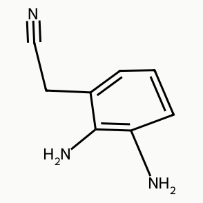 N#CCc1cccc(N)c1N